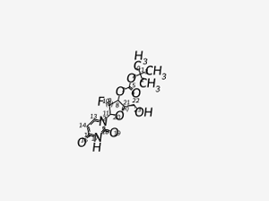 CC(C)(C)OC(=O)OC1[C@@H](F)C(n2ccc(=O)[nH]c2=O)O[C@@H]1CO